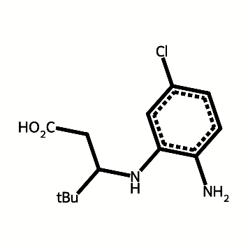 CC(C)(C)C(CC(=O)O)Nc1cc(Cl)ccc1N